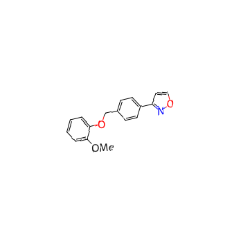 COc1ccccc1OCc1ccc(-c2ccon2)cc1